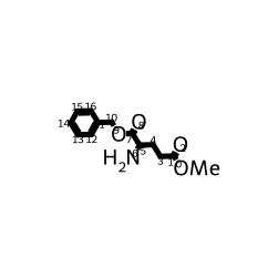 COC(=O)CCC(N)C(=O)OCc1ccccc1